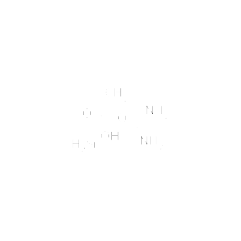 C=CC(=O)O.NC(N)=O.[SiH4]